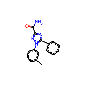 Cc1cccc(-n2nc(C(N)=O)nc2-c2ccccc2)c1